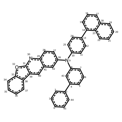 c1ccc(-c2cccc(N(c3ccc(-c4cccc5ccccc45)cc3)c3ccc4nc5oc6ccccc6c5cc4c3)c2)cc1